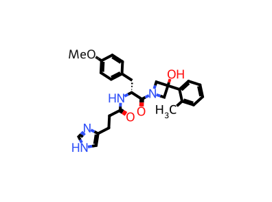 COc1ccc(C[C@@H](NC(=O)CCc2c[nH]cn2)C(=O)N2CC(O)(c3ccccc3C)C2)cc1